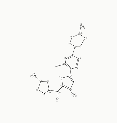 Cc1cc(-c2ccc(C3CCN(C)CC3)cc2F)sc1C(=O)N1CC[C@H](N)C1